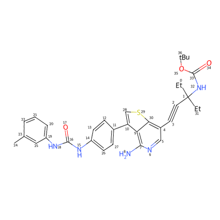 CCC(C#Cc1cnc(N)c2c(-c3ccc(NC(=O)Nc4cccc(C)c4)cc3)csc12)(CC)NC(=O)OC(C)(C)C